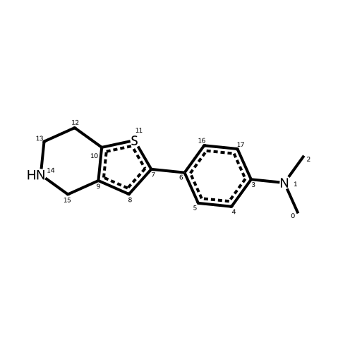 CN(C)c1ccc(-c2cc3c(s2)CCNC3)cc1